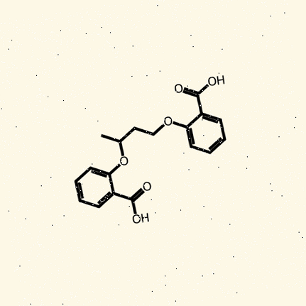 CC(CCOc1ccccc1C(=O)O)Oc1ccccc1C(=O)O